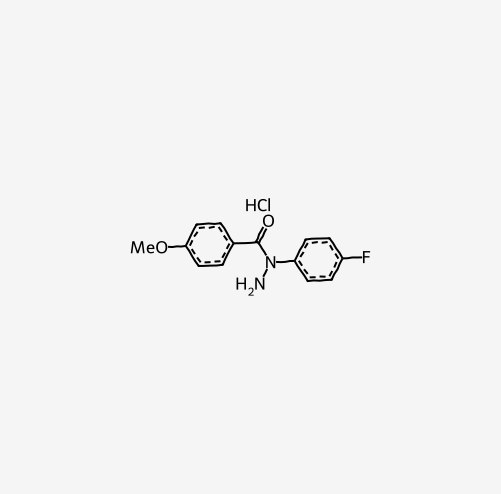 COc1ccc(C(=O)N(N)c2ccc(F)cc2)cc1.Cl